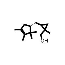 CC1=C(C)C(C)(C)[C@@H](CC2CC2(C)CO)C1